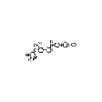 NC(=O)c1cc(-c2ncnc(Nc3ccc(N4CCN(C5COC5)CC4)cc3)n2)ccc1O[C@H]1CNC(=O)C(F)(F)C1